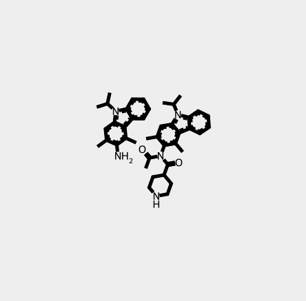 CC(=O)N(C(=O)C1CCNCC1)c1c(C)cc2c(c1C)c1ccccc1n2C(C)C.Cc1cc2c(c(C)c1N)c1ccccc1n2C(C)C